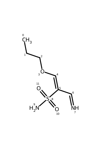 CCCO/C=C(/C=N)S(N)(=O)=O